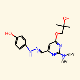 CCCN(CCC)c1nc(/C=N/Nc2ccc(O)cc2)cc(OCC(C)(C)O)n1